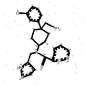 NCC1(c2cccc(Cl)c2)CCC(N(Cc2ccn[nH]2)C(=O)c2cccnc2)CC1